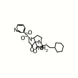 NC(=O)C12C(=O)CN(S(=O)(=O)c3cccnc3)C1CCN2C(=O)[CH]CC1CCCCC1